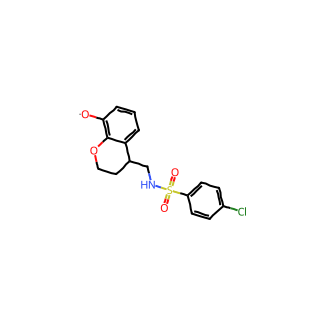 [O]c1cccc2c1OCCC2CNS(=O)(=O)c1ccc(Cl)cc1